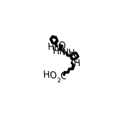 O=C(O)CCC/C=C\C[C@H]1C(CNNC(=O)Nc2ccccc2)C2CC[C@@H]1O2